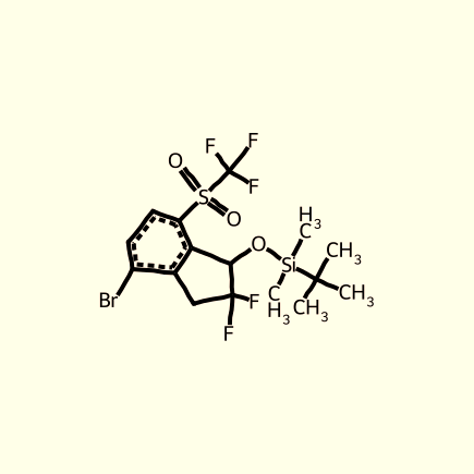 CC(C)(C)[Si](C)(C)OC1c2c(S(=O)(=O)C(F)(F)F)ccc(Br)c2CC1(F)F